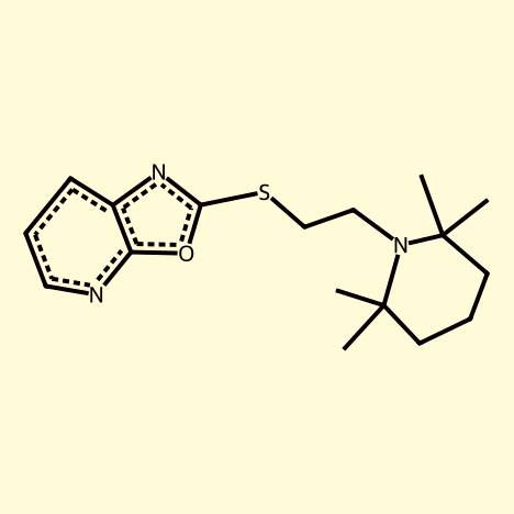 CC1(C)CCCC(C)(C)N1CCSc1nc2cccnc2o1